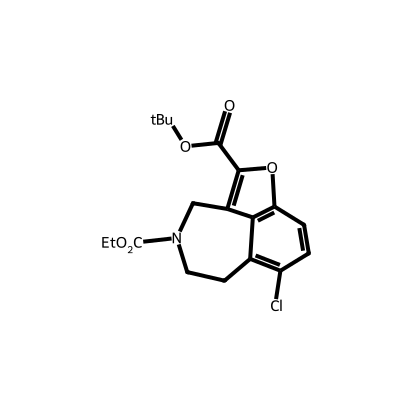 CCOC(=O)N1CCc2c(Cl)ccc3oc(C(=O)OC(C)(C)C)c(c23)C1